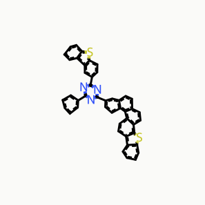 c1ccc(-c2nc(-c3ccc4c(ccc5ccc6c(ccc7c8ccccc8sc76)c54)c3)nc(-c3ccc4sc5ccccc5c4c3)n2)cc1